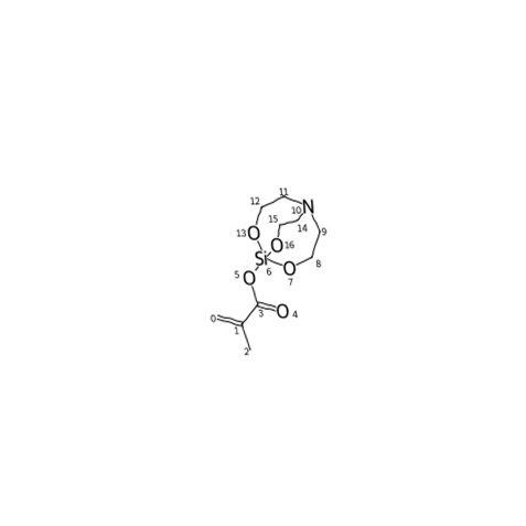 C=C(C)C(=O)O[Si]12OCCN(CCO1)CCO2